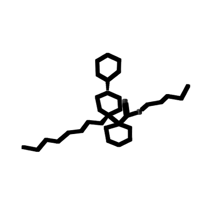 CCCCCCCC[C@]1(C2(C(=O)OCCCCC)CCCCC2)CC[C@@H](C2CCCCC2)CC1